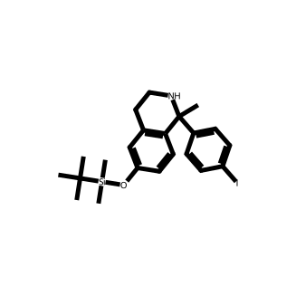 CC1(c2ccc(I)cc2)NCCc2cc(O[Si](C)(C)C(C)(C)C)ccc21